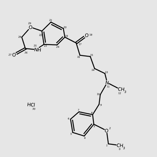 CCOc1ccccc1CCN(C)CCCCC(=O)c1ccc2c(c1)NC(=O)CO2.Cl